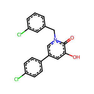 O=c1c(O)cc(-c2ccc(Cl)cc2)cn1Cc1cccc(Cl)c1